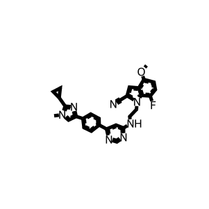 COc1ccc(F)c2c1cc(C#N)n2CCNc1cc(-c2ccc(-c3cn(C)c(C4CC4)n3)cc2)ncn1